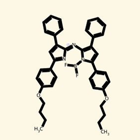 CCCCOc1ccc(C2=N/C(=N\c3c(-c4ccccc4)cc(-c4ccc(OCCCC)cc4)n3B(F)F)C(c3ccccc3)=C2)cc1